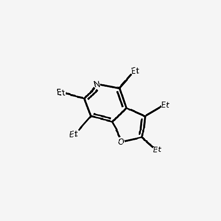 CCc1nc(CC)c2c(CC)c(CC)oc2c1CC